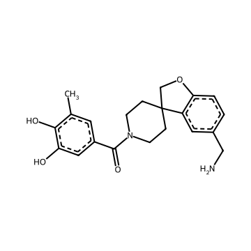 Cc1cc(C(=O)N2CCC3(CC2)COc2ccc(CN)cc23)cc(O)c1O